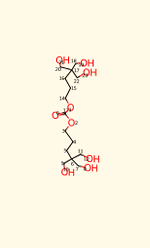 O=C(OCCCC(CO)(CO)CO)OCCCC(CO)(CO)CO